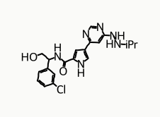 CC(C)NNc1cc(-c2c[nH]c(C(=O)NC(CO)c3cccc(Cl)c3)c2)ncn1